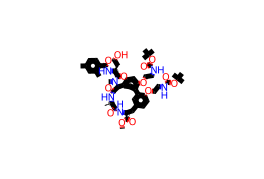 COC(=O)[C@@H]1Cc2ccc(OCCNC(=O)OC(C)(C)C)c(c2)-c2cc(ccc2OCCNC(=O)OC(C)(C)C)[C@H](N(C)C(=O)[C@H](CCO)NC(=O)c2ccc(C)cc2C)C(=O)N[C@@H](C)C(=O)N1